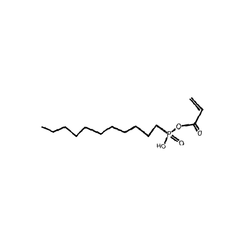 C=CC(=O)OP(=O)(O)CCCCCCCCCCC